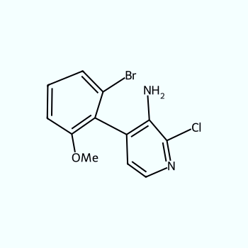 COc1cccc(Br)c1-c1ccnc(Cl)c1N